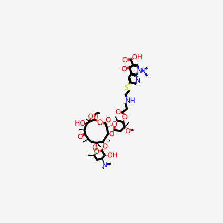 CC[C@H]1OC(=O)[C@H](C)[C@@H](O[C@H]2C[C@@](C)(OC)[C@@H](OC(=O)CCNCCSc3cnc4c(c3)c(=O)c(C(=O)O)cn4N(C)C)[C@H](C)O2)[C@H](C)[C@@H](O[C@@H]2O[C@H](C)C[C@H](N(C)C)[C@H]2O)[C@](C)(OC)C[C@@H](C)C(=O)[C@@H](C)[C@@H](O)[C@]1(C)O